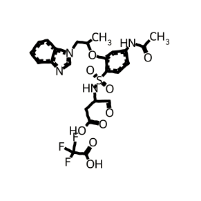 CC(=O)Nc1ccc(S(=O)(=O)NC(C=O)CC(=O)O)c(OC(C)Cn2cnc3ccccc32)c1.O=C(O)C(F)(F)F